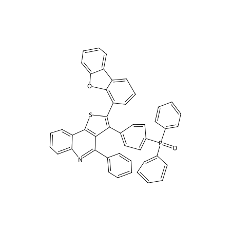 O=P(c1ccccc1)(c1ccccc1)c1ccc(-c2c(-c3cccc4c3oc3ccccc34)sc3c2c(-c2ccccc2)nc2ccccc23)cc1